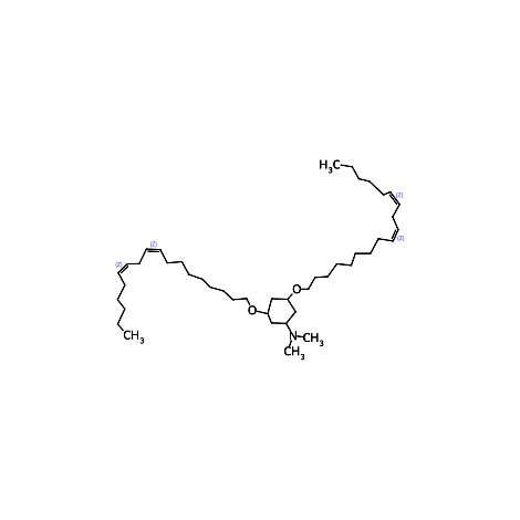 CCCCC/C=C\C/C=C\CCCCCCCCOC1CC(OCCCCCCCC/C=C\C/C=C\CCCCC)CC(N(C)C)C1